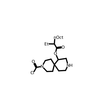 CCCCCCCCC(CC)C(=O)OC1CNCCC12CCN(C(=O)Cl)CC2